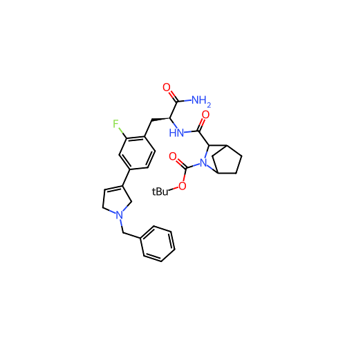 CC(C)(C)OC(=O)N1C2CCC(C2)C1C(=O)N[C@@H](Cc1ccc(C2=CCN(Cc3ccccc3)C2)cc1F)C(N)=O